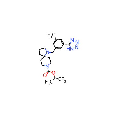 O=C(OC(C(F)(F)F)C(F)(F)F)N1CCC2(CCCN2Cc2cc(-c3nnn[nH]3)cc(C(F)(F)F)c2)CC1